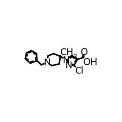 CC1(n2cc(C(=O)O)c(Cl)n2)CCN(Cc2ccccc2)CC1